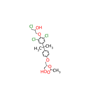 CC(=O)O[C@@H](CO)COc1ccc(C(C)(C)c2cc(Cl)c(OC[C@H](O)CCl)c(Cl)c2)cc1